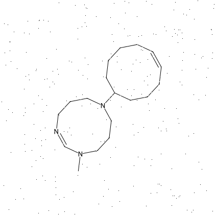 CN1C=NCCCN(C2CCCC=CCCCC2)CCC1